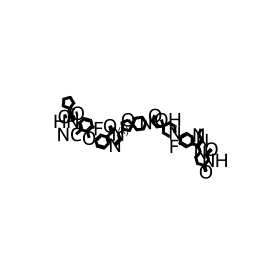 Cn1nc(N2CCC(=O)NC2=O)c2cc(F)c(N3CCC(O)(CC(=O)N4CCC5(CC4)C[C@@H](n4cnc6ccc(Oc7c(F)ccc(NS(=O)(=O)C8CCCC8)c7C#N)cc6c4=O)CO5)CC3)cc21